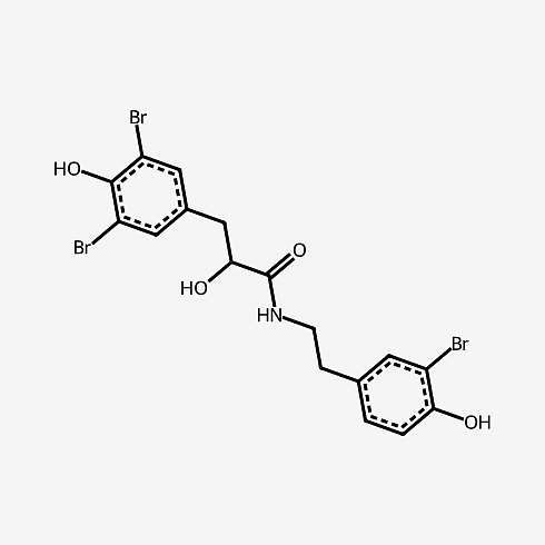 O=C(NCCc1ccc(O)c(Br)c1)C(O)Cc1cc(Br)c(O)c(Br)c1